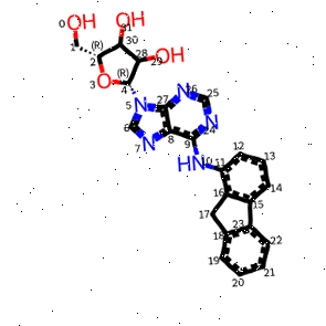 OC[C@H]1O[C@@H](n2cnc3c(Nc4cccc5c4Cc4ccccc4-5)ncnc32)C(O)C1O